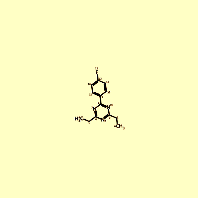 CCc1nc(CC)nc(-c2ccc(F)cc2)n1